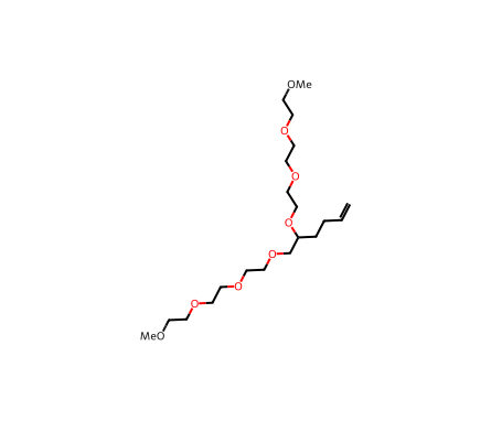 C=CCCC(COCCOCCOCCOC)OCCOCCOCCOC